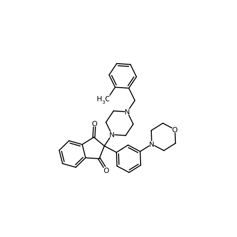 Cc1ccccc1CN1CCN(C2(c3cccc(N4CCOCC4)c3)C(=O)c3ccccc3C2=O)CC1